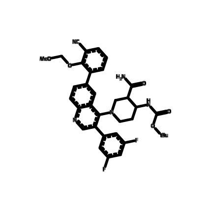 COCOc1c(C#N)cccc1-c1ccc2ncc(-c3cc(F)cc(F)c3)c(N3CCC(NC(=O)OC(C)(C)C)C(C(N)=O)C3)c2c1